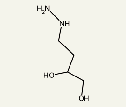 NNCCC(O)CO